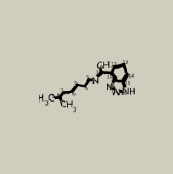 CC(=NCCCCCC(C)C)c1cccc2[nH]nnc12